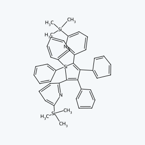 C[Si](C)(C)c1cccc(C2=C(c3ccccc3)C(c3ccccc3)=C(c3cccc([Si](C)(C)C)n3)[Si]2(c2ccccc2)c2ccccc2)n1